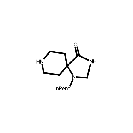 CCCCCN1CNC(=O)C12CCNCC2